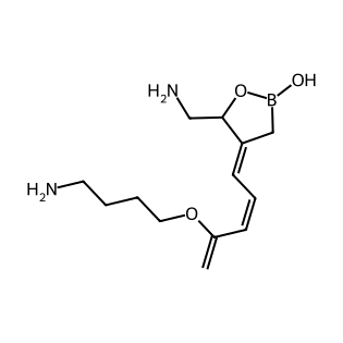 C=C(/C=C\C=C1/CB(O)OC1CN)OCCCCN